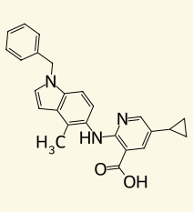 Cc1c(Nc2ncc(C3CC3)cc2C(=O)O)ccc2c1ccn2Cc1ccccc1